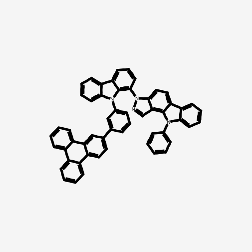 c1ccc(-n2c3ccccc3c3ccc4c(cnn4-c4cccc5c6ccccc6n(-c6cccc(-c7ccc8c9ccccc9c9ccccc9c8c7)c6)c45)c32)cc1